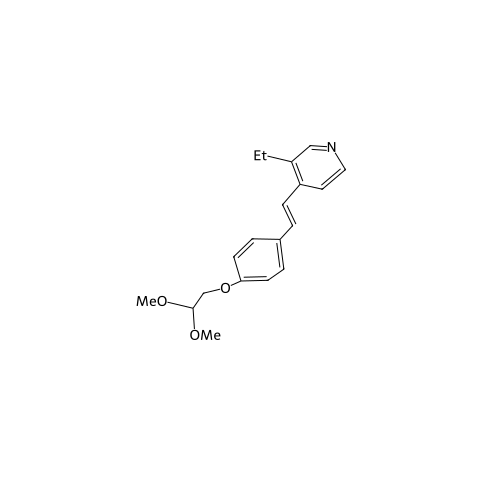 CCc1cnccc1/C=C/c1ccc(OCC(OC)OC)cc1